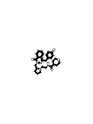 O=C(NCCN1CCCC1Cn1nc(Cc2ccc(Cl)cc2)c2ccccc2c1=O)C1CCOCC1